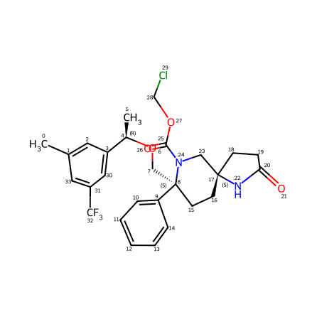 Cc1cc([C@@H](C)OC[C@@]2(c3ccccc3)CC[C@]3(CCC(=O)N3)CN2C(=O)OCCl)cc(C(F)(F)F)c1